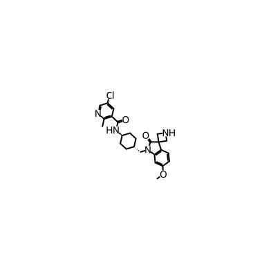 COc1ccc2c(c1)N(C[C@H]1CC[C@H](NC(=O)c3cc(Cl)cnc3C)CC1)C(=O)C21CNC1